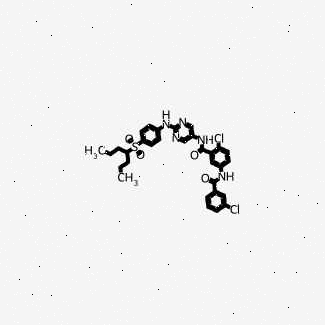 CCCC(CCC)S(=O)(=O)c1ccc(Nc2ncc(NC(=O)c3cc(NC(=O)c4cccc(Cl)c4)ccc3Cl)cn2)cc1